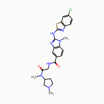 CN1CCC(N(C)C(=O)CNC(=O)c2ccc3c(c2)nc(Nc2nc4ccc(Cl)cc4s2)n3C)C1